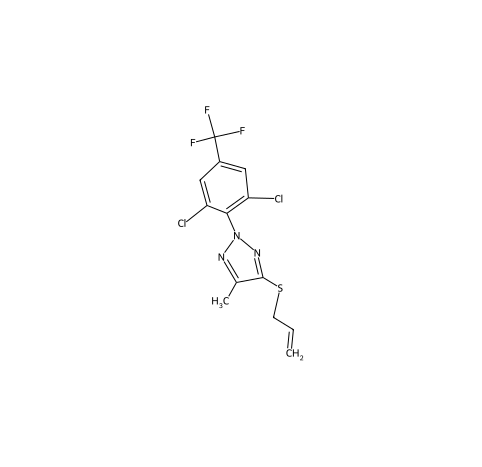 C=CCSc1nn(-c2c(Cl)cc(C(F)(F)F)cc2Cl)nc1C